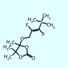 CC1(C)OC(=O)OC1(C)OC/C(F)=C(\F)S(C)(C)C